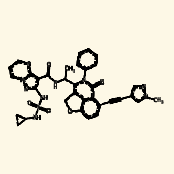 CC(NC(=O)c1c(NS(=O)(=O)NC2CC2)nn2cccnc12)c1c2c3c(ccc(C#Cc4cnn(C)c4)c3c(=O)n1-c1ccccc1)OC2